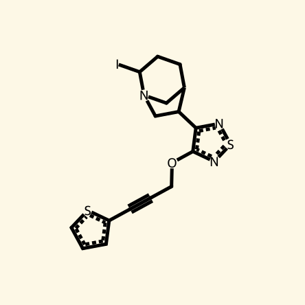 IC1CCC2CN1CC2c1nsnc1OCC#Cc1cccs1